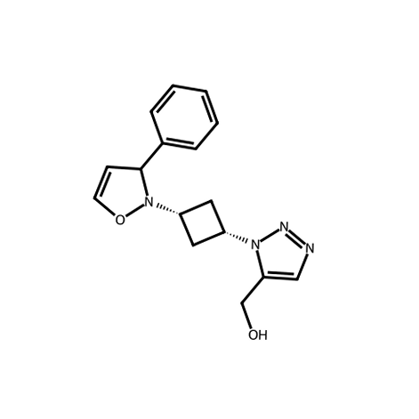 OCc1cnnn1[C@H]1C[C@@H](N2OC=CC2c2ccccc2)C1